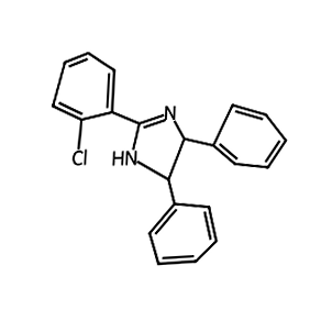 Clc1ccccc1C1=NC(c2ccccc2)C(c2ccccc2)N1